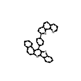 c1ccc2c(c1)ccc1nc3c(sc4ccccc43)c(-c3ccc(-c4ccc5ccc6cccnc6c5n4)cc3)c12